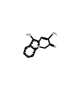 O=C1Cn2c(c(O)c3ccccc32)C=C1P